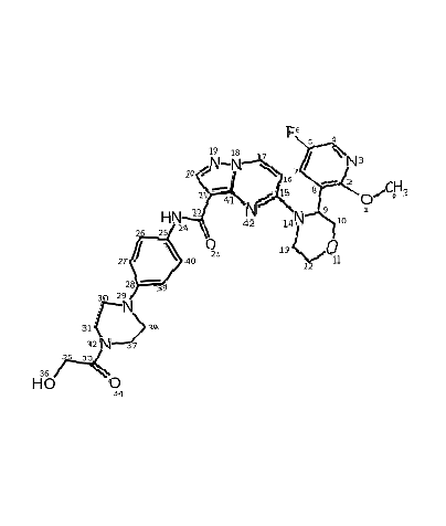 COc1ncc(F)cc1C1COCCN1c1ccn2ncc(C(=O)Nc3ccc(N4CCN(C(=O)CO)CC4)cc3)c2n1